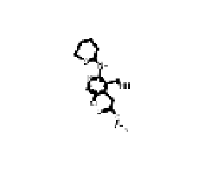 COC(=O)Cc1c(Cl)cnc(NC2CCCCO2)c1C=N